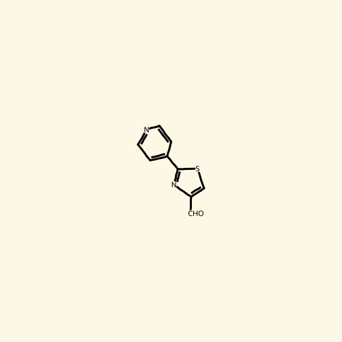 O=Cc1csc(-c2ccncc2)n1